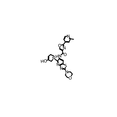 Cc1cc(-c2nc(C(=O)Nc3cc4sc(N5CCOCC5)nc4nc3N3CCC=C(O)C3)co2)ccn1